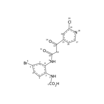 O=C(O)Nc1ccc(Br)cc1NC(=O)CC(=O)c1ccnc(Cl)c1